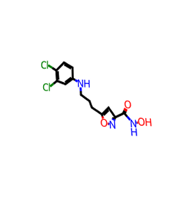 O=C(NO)c1cc(CCCNc2ccc(Cl)c(Cl)c2)on1